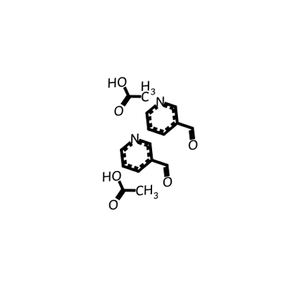 CC(=O)O.CC(=O)O.O=Cc1cccnc1.O=Cc1cccnc1